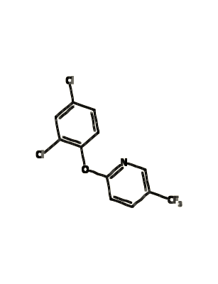 FC(F)(F)c1ccc(Oc2ccc(Cl)cc2Cl)nc1